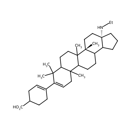 CCN[C@]12CCCC1C1CCC3C4(C)CC=C(C5=CCC(C(=O)O)CC5)C(C)(C)C4CCC3(C)[C@]1(C)CC2